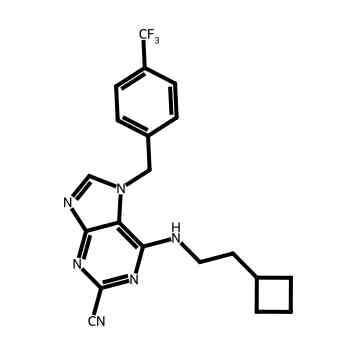 N#Cc1nc(NCCC2CCC2)c2c(ncn2Cc2ccc(C(F)(F)F)cc2)n1